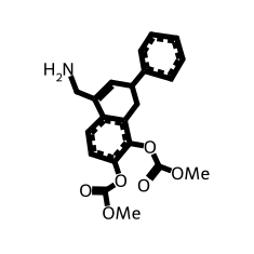 COC(=O)Oc1ccc2c(c1OC(=O)OC)CC(c1ccccc1)C=C2CN